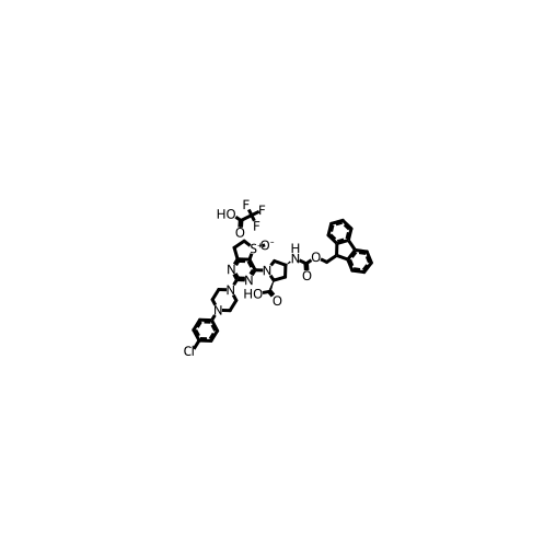 O=C(N[C@@H]1C[C@@H](C(=O)O)N(c2nc(N3CCN(c4ccc(Cl)cc4)CC3)nc3c2[S+]([O-])CC3)C1)OCC1c2ccccc2-c2ccccc21.O=C(O)C(F)(F)F